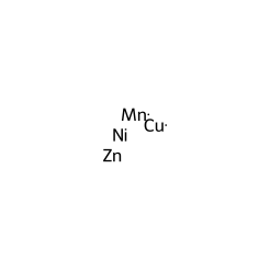 [Cu].[Mn].[Ni].[Zn]